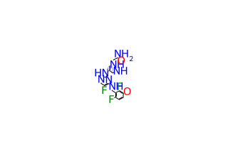 COc1ccc(F)c(CNc2nc(N/C(C=N)=C/NCC(N)=O)ncc2F)c1F